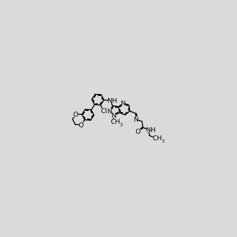 CCNC(=O)CN=Cc1cnc2c(Nc3cccc(-c4ccc5c(c4)OCCO5)c3Cl)nn(C)c2c1